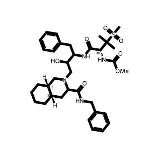 COC(=O)N[C@H](C(=O)NC(Cc1ccccc1)C(O)CN1C[C@H]2CCCC[C@H]2CC1C(=O)NCc1ccccc1)C(C)(C)S(C)(=O)=O